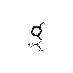 CC(=O)N(N)Oc1cccc(C(C)C)c1